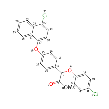 COC(=O)C(Oc1ccc(Cl)cc1)c1ccc(Oc2ccc(Cl)c3ccccc23)cc1